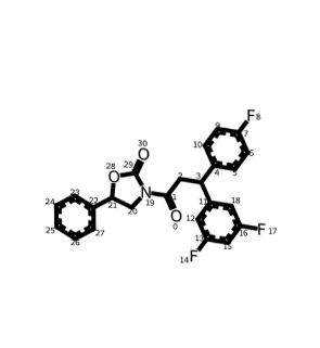 O=C(CC(c1ccc(F)cc1)c1cc(F)cc(F)c1)N1CC(c2ccccc2)OC1=O